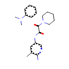 Cc1cc(NC(=O)C(=O)N2CCCC[C@H]2c2cccc(N(C)C)c2)cnc1N